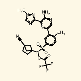 Cc1ccc(S(=O)(=O)N(OC(=O)C(F)(F)F)C23CCC(C#N)(C2)C3)cc1-c1cnc(N)c(-c2ncn(C)n2)n1